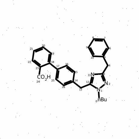 CCCCn1nc(Cc2ccccc2)nc1Cc1ccc(-c2ccccc2C(=O)O)cc1